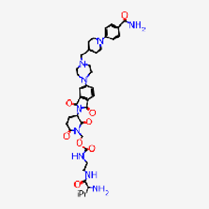 CC(C)C(N)C(=O)NCCNC(=O)OCN1C(=O)CCC(N2C(=O)c3ccc(N4CCN(CC5CCN(c6ccc(C(N)=O)cc6)CC5)CC4)cc3C2=O)C1=O